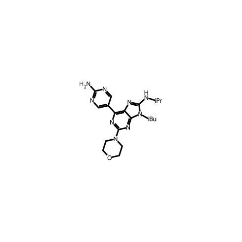 CCC(C)n1c(NC(C)C)nc2c(-c3cnc(N)nc3)nc(N3CCOCC3)nc21